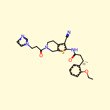 CCOc1ccccc1[C@@H](C)CC(=O)Nc1sc2c(c1C#N)CCN(C(=O)CCn1ccnc1)C2